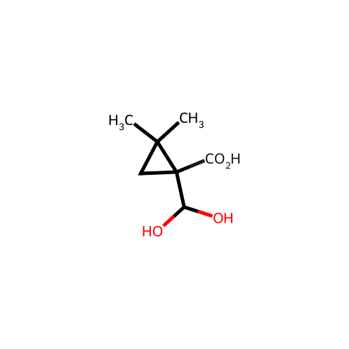 CC1(C)CC1(C(=O)O)C(O)O